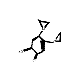 O=C1C=C(N2CC2)C(N2CC2)=CC1=O